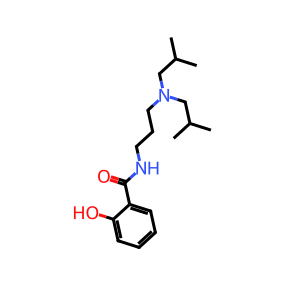 CC(C)CN(CCCNC(=O)c1ccccc1O)CC(C)C